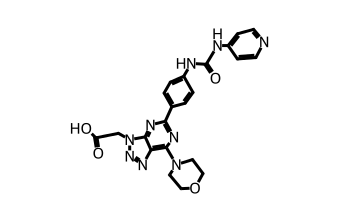 O=C(O)Cn1nnc2c(N3CCOCC3)nc(-c3ccc(NC(=O)Nc4ccncc4)cc3)nc21